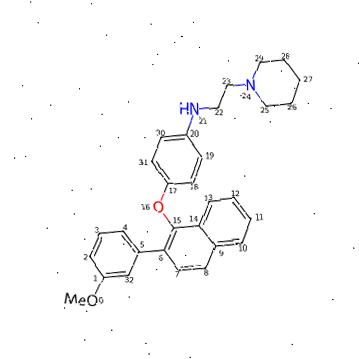 COc1cccc(-c2ccc3ccccc3c2Oc2ccc(NCCN3CCCCC3)cc2)c1